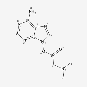 CN(C)CC(=O)On1cnc2c(N)ncnc21